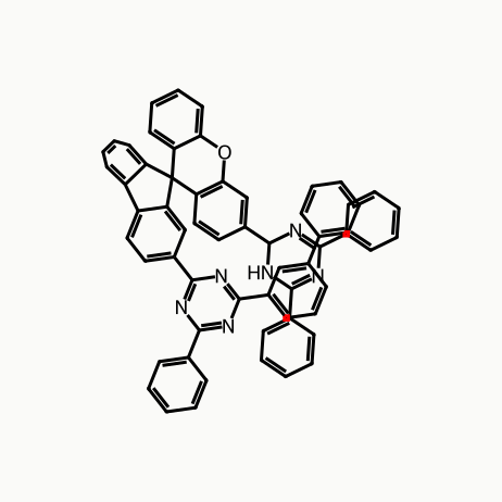 c1ccc(C2=NC(c3ccc4c(c3)Oc3ccccc3C43c4ccccc4-c4ccc(-c5nc(-c6ccccc6)nc(-c6cccc(-c7ccccc7)c6)n5)cc43)NC(c3ccccc3)=N2)cc1